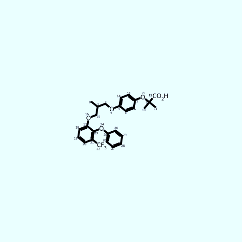 CC(COc1ccc(OC(C)(C)C(=O)O)cc1)COc1cccc(C(F)(F)F)c1Oc1ccccc1